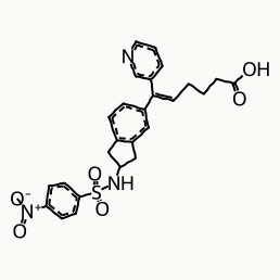 O=C(O)CCCC=C(c1cccnc1)c1ccc2c(c1)CC(NS(=O)(=O)c1ccc([N+](=O)[O-])cc1)C2